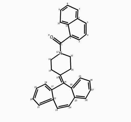 O=C(c1cccc2ccccc12)N1CCC(=C2c3ccccc3C=Cc3ccccc32)CC1